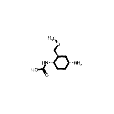 COC[C@H]1C[C@H](N)CC[C@@H]1NC(=O)O